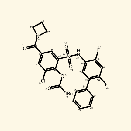 CC(C)(C)C(=O)Oc1c(Cl)cc(C(=O)N2CCC2)cc1S(=O)(=O)Nc1cc(-c2ccccc2)c(F)cc1F